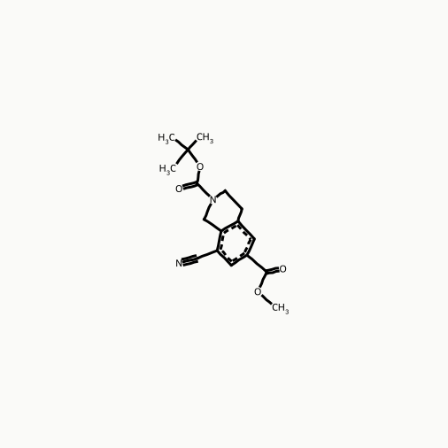 COC(=O)c1cc(C#N)c2c(c1)CCN(C(=O)OC(C)(C)C)C2